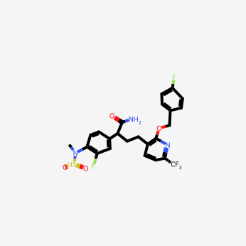 CN(c1ccc(C(CCc2ccc(C(F)(F)F)nc2OCc2ccc(F)cc2)C(N)=O)cc1F)[SH](=O)=O